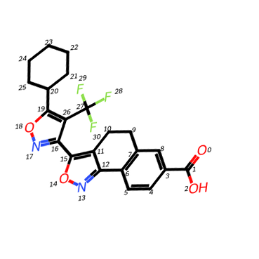 O=C(O)c1ccc2c(c1)CCc1c-2noc1-c1noc(C2CCCCC2)c1C(F)(F)F